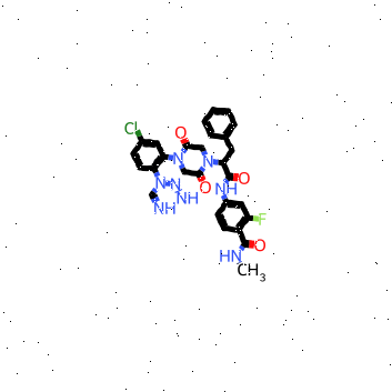 CNC(=O)c1ccc(NC(=O)C(Cc2ccccc2)N2CC(=O)N(c3cc(Cl)ccc3N(C=N)N=N)CC2=O)cc1F